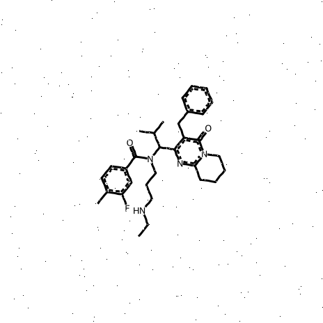 CCNCCCN(C(=O)c1ccc(C)c(F)c1)C(c1nc2n(c(=O)c1Cc1ccccc1)CCCC2)C(C)C